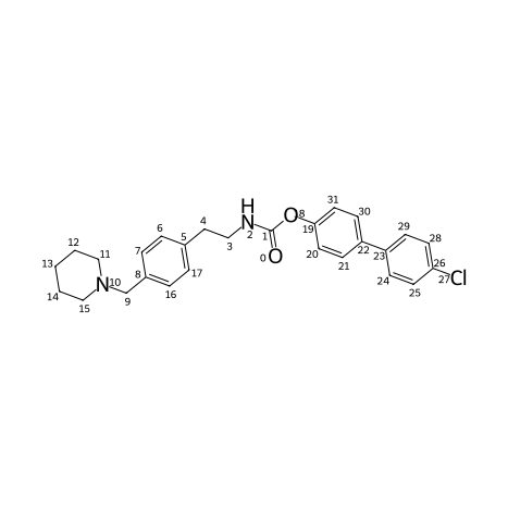 O=C(NCCc1ccc(CN2CCCCC2)cc1)Oc1ccc(-c2ccc(Cl)cc2)cc1